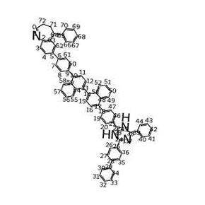 C1=Nc2ccc(-c3ccc(-c4ccc(-c5ccc(-c6ccc(C7NC(c8ccc(-c9ccccc9)cc8)=NC(c8ccccc8)N7)cc6)c6ccccc56)c5ccccc45)cc3)cc2C(c2ccccc2)CC1